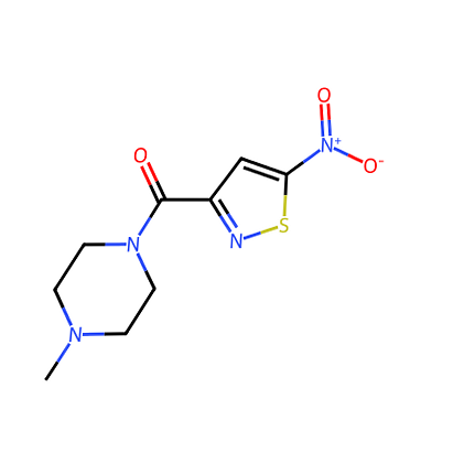 CN1CCN(C(=O)c2cc([N+](=O)[O-])sn2)CC1